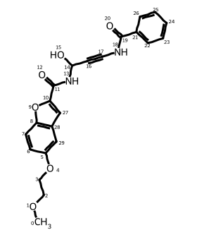 COCCOc1ccc2oc(C(=O)NC(O)C#CNC(=O)c3ccccc3)cc2c1